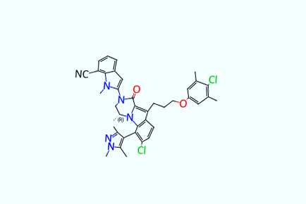 Cc1cc(OCCCc2c3n(c4c(-c5c(C)nn(C)c5C)c(Cl)ccc24)[C@H](C)CN(c2cc4cccc(C#N)c4n2C)C3=O)cc(C)c1Cl